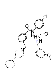 COc1cccc(/C=N/NC(=O)c2cc(Cl)ccc2NC(=O)c2cccc(CN3CCC(N4CCCCC4)CC3)c2)c1